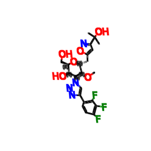 CO[C@@H]1[C@@H](n2cc(-c3ccc(F)c(F)c3F)nn2)[C@@H](O)[C@@H](CO)O[C@@H]1Cc1cc(C(C)(C)O)no1